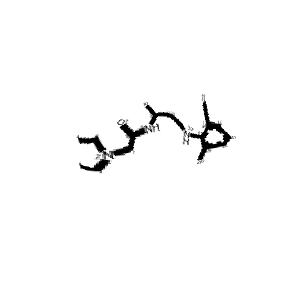 CCN(CC)CC(=O)NC(C)CNc1c(C)cccc1C